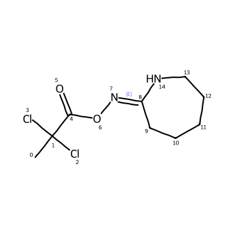 CC(Cl)(Cl)C(=O)O/N=C1\CCCCCN1